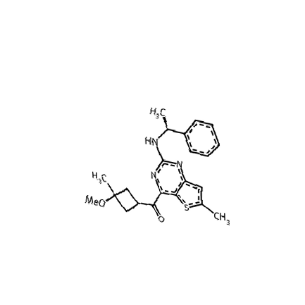 COC1(C)CC(C(=O)c2nc(N[C@@H](C)c3ccccc3)nc3cc(C)sc23)C1